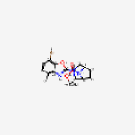 Cc1ccc(Br)c2oc(N3CC4CCC(C3)N4C(=O)OC(C)(C)C)nc12